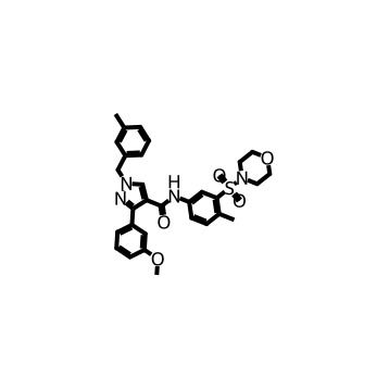 COc1cccc(-c2nn(Cc3cccc(C)c3)cc2C(=O)Nc2ccc(C)c(S(=O)(=O)N3CCOCC3)c2)c1